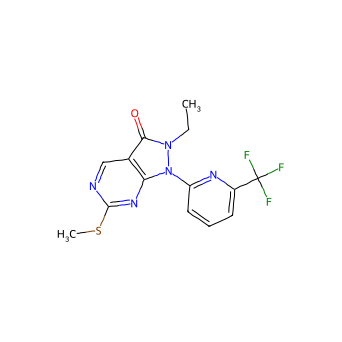 CCn1c(=O)c2cnc(SC)nc2n1-c1cccc(C(F)(F)F)n1